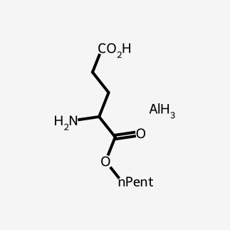 CCCCCOC(=O)C(N)CCC(=O)O.[AlH3]